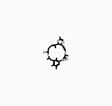 C=C(C)OC1/C(C)=C/CCC(CC)CC(C)Cc2c(C)c(C)cc(c2C)NC(=O)C(C)C/C=C\C1CC